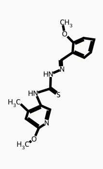 COc1cc(C)c(NC(=S)N/N=C/c2ccccc2OC)cn1